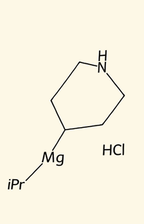 C[CH](C)[Mg][CH]1CCNCC1.Cl